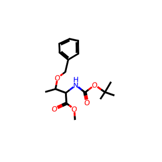 COC(=O)C(NC(=O)OC(C)(C)C)C(C)OCc1ccccc1